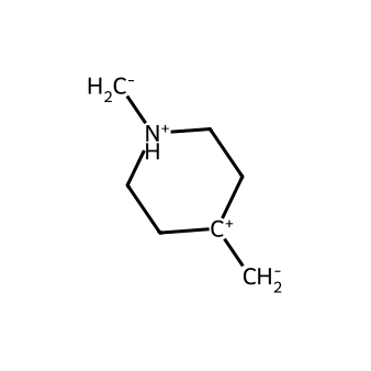 [CH2-][C+]1CC[NH+]([CH2-])CC1